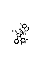 Cc1cc(-c2c(-c3ccccc3)nc(N)[n+]3c(=O)n([C@@H]4CCCc5ccc(F)cc54)[nH]c23)cc(C)n1